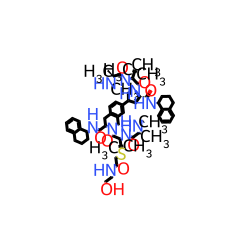 CN[C@@H](C)C(=O)NC(C(=O)N1CC(c2ccc3c(c2)CN(C(=O)C(NC(=O)[C@H](C)NC)C(C)(C)SCC(=O)NCCO)C(C(=O)NC2CCCc4ccccc42)C3)C[C@H]1C(=O)N[C@@H]1CCCc2ccccc21)C(C)(C)C